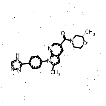 Cc1cc2cc(C(=O)N3CCO[C@@H](C)C3)cnc2n1-c1ccc(-c2nnc[nH]2)cc1